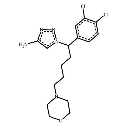 Nc1cn(C(CCCCN2CCOCC2)c2ccc(Cl)c(Cl)c2)nn1